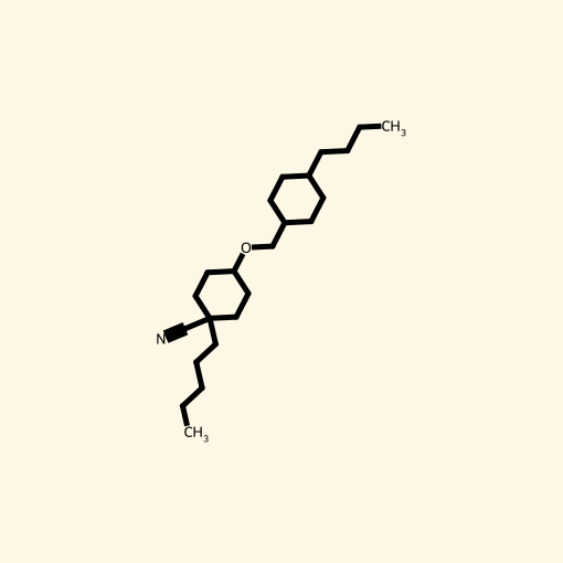 CCCCCC1(C#N)CCC(OCC2CCC(CCCC)CC2)CC1